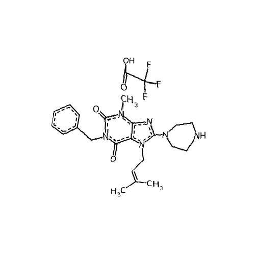 CC(C)=CCn1c(N2CCNCC2)nc2c1c(=O)n(Cc1ccccc1)c(=O)n2C.O=C(O)C(F)(F)F